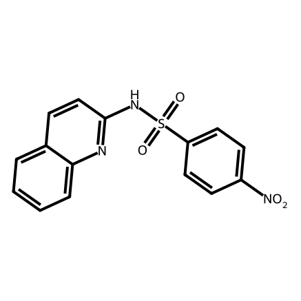 O=[N+]([O-])c1ccc(S(=O)(=O)Nc2ccc3ccccc3n2)cc1